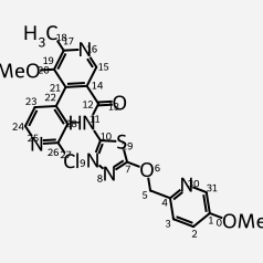 COc1ccc(COc2nnc(NC(=O)c3cnc(C)c(OC)c3-c3ccnc(Cl)c3)s2)nc1